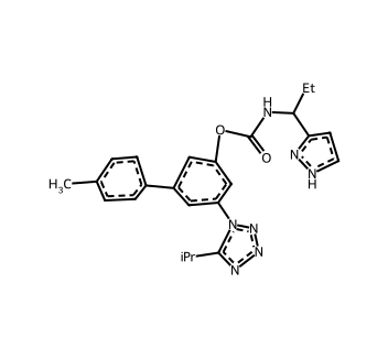 CCC(NC(=O)Oc1cc(-c2ccc(C)cc2)cc(-n2nnnc2C(C)C)c1)c1cc[nH]n1